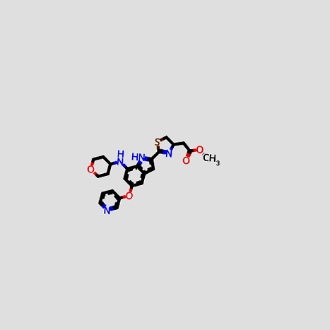 COC(=O)CC1CSC(c2cc3cc(Oc4cccnc4)cc(NC4CCOCC4)c3[nH]2)=N1